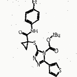 CCc1ccc(NC(=O)C2(Sc3nnc(-c4ccsc4)n3C(=O)OC(C)(C)C)CC2)cc1